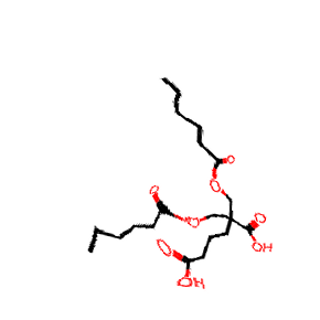 CCCCCC(=O)OCC(CCCC(=O)O)(COC(=O)CCCCC)C(=O)O